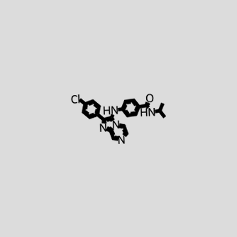 CC(C)NC(=O)c1ccc(Nc2c(-c3ccc(Cl)cc3)nc3cnccn23)cc1